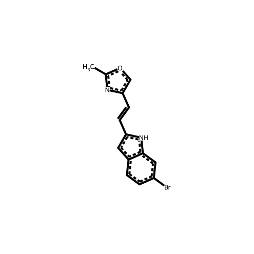 Cc1nc(/C=C/c2cc3ccc(Br)cc3[nH]2)co1